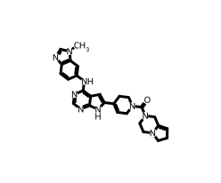 Cn1cnc2ccc(Nc3ncnc4[nH]c(C5=CCN(C(=O)N6CCN7CCC=C7C6)CC5)cc34)cc21